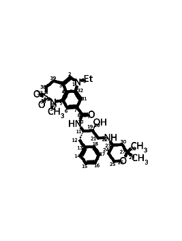 CCn1cc2c3c(cc(C(=O)N[C@@H](Cc4ccccc4)[C@H](O)CNC4CCOC(C)(C)C4)cc31)N(C)S(=O)(=O)CC2